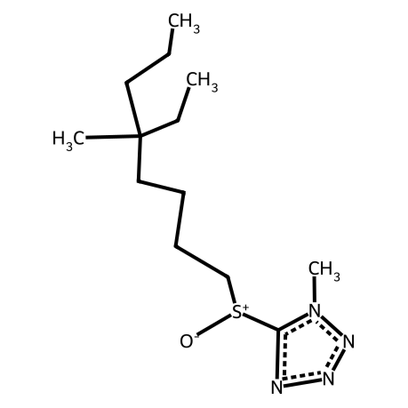 CCCC(C)(CC)CCCC[S+]([O-])c1nnnn1C